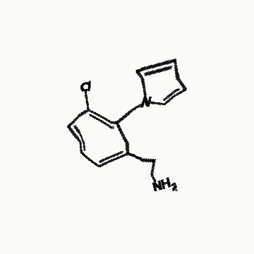 NCc1cccc(Cl)c1-n1cccc1